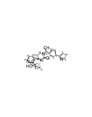 C[C@@H](c1ccc(C2=CCC=N2)cc1)N1CC[C@](CC(C)(C)O)(c2ccccc2)OC1=O